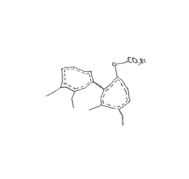 CCOC(=O)Oc1ccc(C)c(C)c1-c1[c]ccc(C)c1C